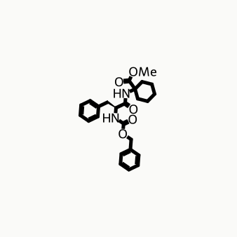 COC(=O)C1(NC(=O)[C@H](Cc2ccccc2)NC(=O)OCc2ccccc2)CCCCC1